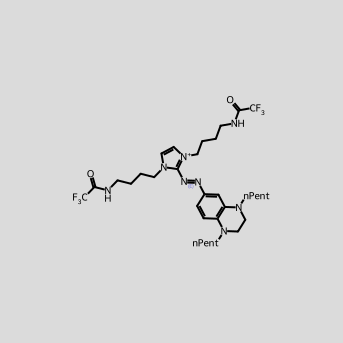 CCCCCN1CCN(CCCCC)c2cc(/N=N/c3n(CCCCNC(=O)C(F)(F)F)cc[n+]3CCCCNC(=O)C(F)(F)F)ccc21